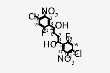 O=[N+]([O-])c1cc([C@H](O)CC[C@H](O)c2cc([N+](=O)[O-])c(Cl)cc2F)c(F)cc1Cl